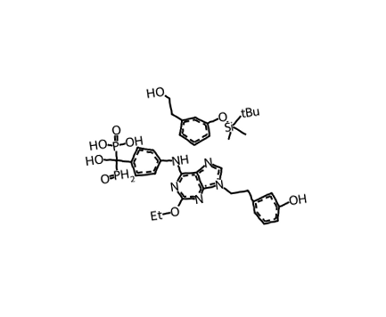 CC(C)(C)[Si](C)(C)Oc1cccc(CCO)c1.CCOc1nc(Nc2ccc(C(O)([PH2]=O)P(=O)(O)O)cc2)c2ncn(CCc3cccc(O)c3)c2n1